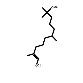 COC(C)(C)CCCC(C)CCCC(C)=CC(=O)O